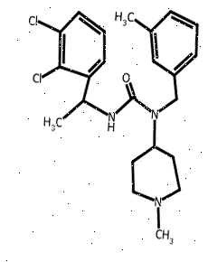 Cc1cccc(CN(C(=O)NC(C)c2cccc(Cl)c2Cl)C2CCN(C)CC2)c1